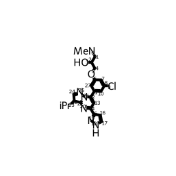 CNCC(O)COc1cc(Cl)cc(C2=CC(c3cc[nH]n3)=NC3C(C(C)C)C=NN23)c1